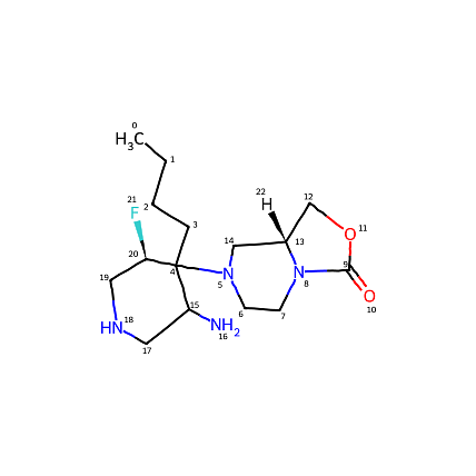 CCCCC1(N2CCN3C(=O)OC[C@H]3C2)C(N)CNC[C@H]1F